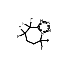 FC1(F)CCC(F)(F)C(F)(F)c2nnnn21